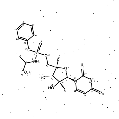 CC(N[P@](=O)(OC[C@@]1(F)O[C@@H](n2ccc(=O)[nH]c2=O)[C@](C)(O)[C@@H]1O)Oc1ccccc1)C(=O)O